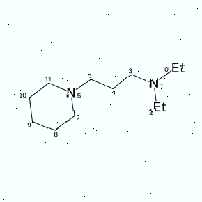 CCN(CC)CCCN1CCCCC1